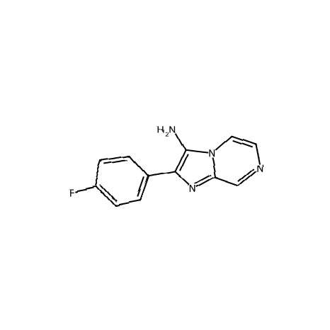 Nc1c(-c2ccc(F)cc2)nc2cnccn12